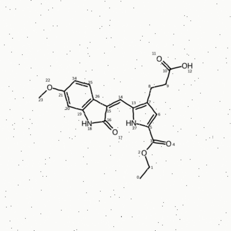 CCOC(=O)c1cc(CCC(=O)O)c(/C=C2\C(=O)Nc3cc(OC)ccc32)[nH]1